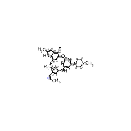 C/C=C\c1cc(Nc2cc(N3CCN(C)CC3)nc(Oc3cc(F)c4[nH]c(C)cc4c3F)n2)nn1C